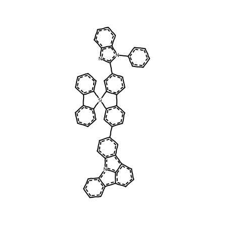 c1ccc(-n2c(-c3ccc4c(c3)[Si]3(c5ccccc5-c5ccccc53)c3cc(-c5ccc6c(c5)c5cccc7c8ccccc8n6c75)ccc3-4)nc3ccccc32)cc1